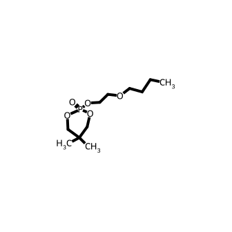 CCCCOCCOP1(=O)OCC(C)(C)CO1